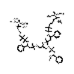 CCOC(CC(C)(C)OCC(COC(C)(C)CC(OC(C)(C)C(C)(C)CCOC(C)(SC)[PH](OC)(OC)OC)c1ccccc1)OC(C)(C)CC(OC(C)(C)C(C)(C)CCCC(C)(N)P(=O)(OC)OC)c1ccccc1)c1ccccc1